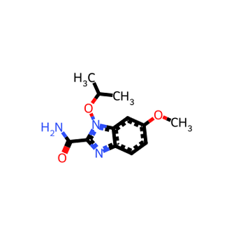 COc1ccc2nc(C(N)=O)n(OC(C)C)c2c1